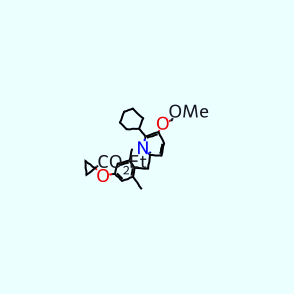 CCOC(=O)C1(Oc2cc(C)c(Cc3ccc(OCOC)c(C4CCCCC4)n3)c(C)c2)CC1